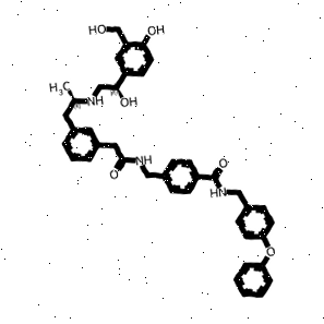 C[C@H](Cc1cccc(CC(=O)NCc2ccc(C(=O)NCc3ccc(Oc4ccccc4)cc3)cc2)c1)NC[C@H](O)c1ccc(O)c(CO)c1